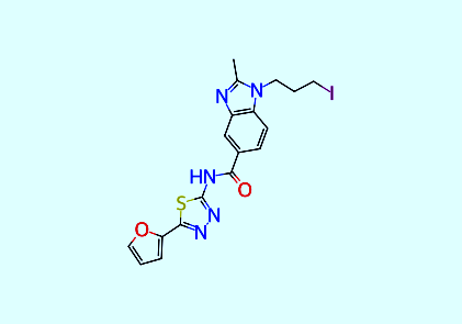 Cc1nc2cc(C(=O)Nc3nnc(-c4ccco4)s3)ccc2n1CCCI